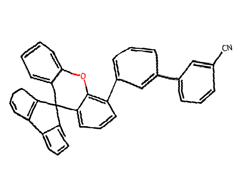 N#Cc1cccc(-c2cccc(-c3cccc4c3Oc3ccccc3C43C4=C(C=CCC4)c4ccccc43)c2)c1